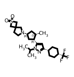 CC(C)n1nc([C@H]2CC[C@@H](C(F)(F)F)CC2)cc1[C@@H]1C[C@H](N2CCC3(C2)CS(=O)(=O)C3)C[C@@H]1C